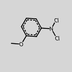 COc1cccc(N(Cl)Cl)c1